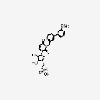 COc1cccc(-c2ccnc(Cn3c(=O)ccn([C@@H]4O[C@H](COP(=O)(O)O)[C@H](O)C4O)c3=O)c2)c1